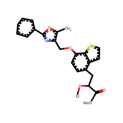 CCOC(Cc1ccc(OCc2nc(-c3ccccc3)oc2C)c2sccc12)C(=O)OC